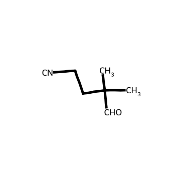 [C-]#[N+]CCC(C)(C)C=O